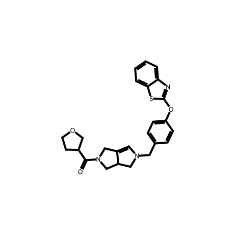 O=C(C1CCOC1)N1CC2=CN(Cc3ccc(Oc4nc5ccccc5s4)cc3)CC2C1